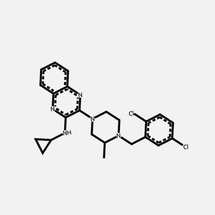 CC1CN(c2nc3ccccc3nc2NC2CC2)CCN1Cc1cc(Cl)ccc1Cl